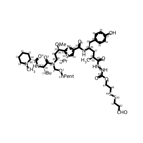 CCCCCOCN(C(=O)[C@@H](NC(=O)[C@H]1CCCCN1C)C(C)CC)[C@H](C[C@@H](OC)c1nc(C(=O)N[C@@H](Cc2ccc(O)cc2)C[C@H](C)C(=O)NNC(=O)OCCSSCCC=O)cs1)C(C)C